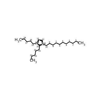 CCCCCCCCCCC[n+]1ccn(CCCCC)c1CCCCC